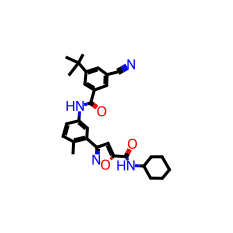 Cc1ccc(NC(=O)c2cc(C#N)cc(C(C)(C)C)c2)cc1-c1cc(C(=O)NC2CCCCC2)on1